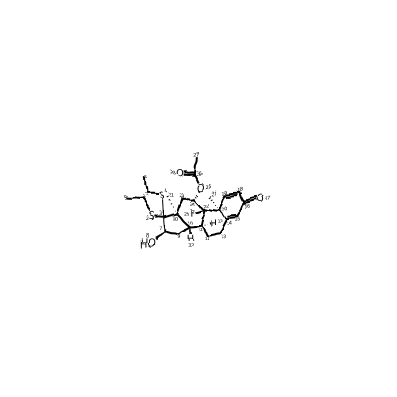 CCSC1(SCC)[C@H](O)C[C@H]2[C@@H]3CCC4=CC(=O)C=C[C@]4(C)C3(F)[C@@H](OC(C)=O)C[C@@]21C